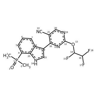 CP(C)(=O)c1cccc2c(-c3nc(OC(F)C(F)F)ncc3C#N)c[nH]c12